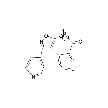 NC(=O)c1ccccc1-c1c(-c2ccncc2)noc1N